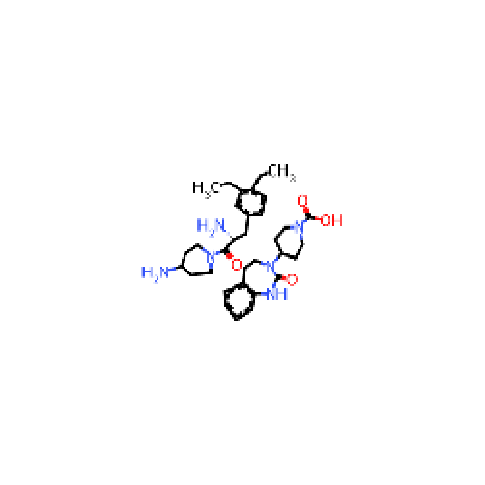 CCc1ccc(C[C@@H](N)C(=O)N2CCC(N)CC2)cc1CC.O=C(O)N1CCC(N2CCc3ccccc3NC2=O)CC1